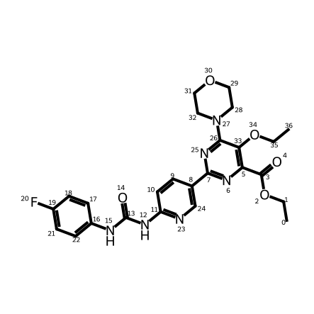 CCOC(=O)c1nc(-c2ccc(NC(=O)Nc3ccc(F)cc3)nc2)nc(N2CCOCC2)c1OCC